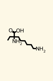 CCC(N)(CCCCCCN)C(=O)O